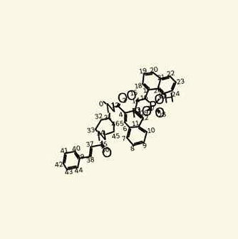 CN(C(=O)c1cc2ccccc2cc1C(=O)C(c1cccc2ccccc12)P(=O)(O)O)C1CCN(C(=O)C=Cc2ccccc2)CC1